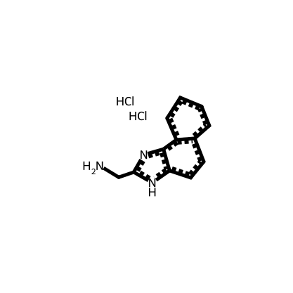 Cl.Cl.NCc1nc2c(ccc3ccccc32)[nH]1